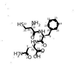 NC(=O)C[C@H](NC(=O)[C@H](Cc1ccccc1)NC(=O)[C@@H](N)CS)C(=O)O